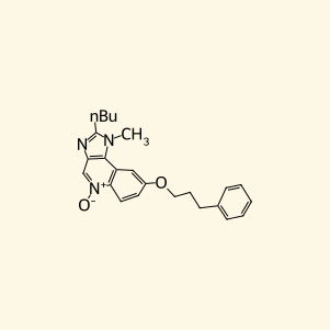 CCCCc1nc2c[n+]([O-])c3ccc(OCCCc4ccccc4)cc3c2n1C